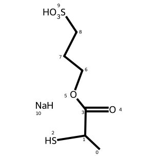 CC(S)C(=O)OCCCS(=O)(=O)O.[NaH]